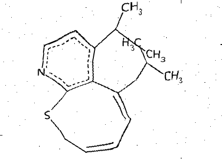 CC(C)/C1=C/C=C\CSc2nccc(C(C)C)c21